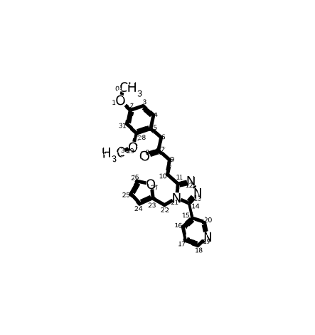 COc1ccc(CC(=O)CCc2nnc(-c3cccnc3)n2Cc2ccco2)c(OC)c1